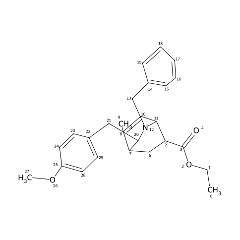 CCOC(=O)C1CC2C(C)=CC1N(Cc1ccccc1)C2Cc1ccc(OC)cc1